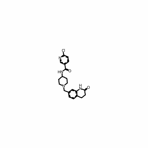 O=C1CCc2ccc(CN3CCC(NC(=O)c4ccc(Cl)nc4)CC3)cc2N1